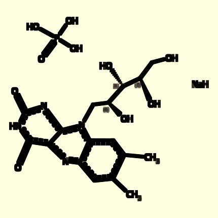 Cc1cc2nc3c(=O)[nH]c(=O)nc-3n(C[C@H](O)[C@H](O)[C@H](O)CO)c2cc1C.O=P(O)(O)O.[NaH]